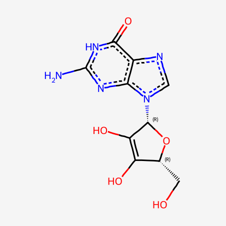 Nc1nc2c(ncn2[C@@H]2O[C@H](CO)C(O)=C2O)c(=O)[nH]1